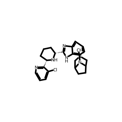 CN1CC2CCC(C1)N2c1cccc2nc([C@H]3CCC[C@@H](c4ncccc4Cl)N3)[nH]c12